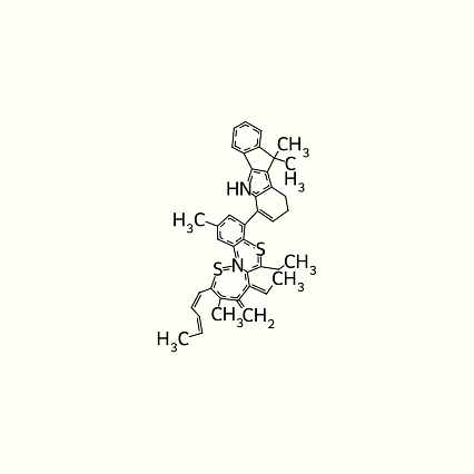 C=c1c(C)c(/C=C\C=C/C)sn2c3cc(C)cc(C4=CCCc5c4[nH]c4c5C(C)(C)c5ccccc5-4)c3sc(CC)c-2/c1=C\C